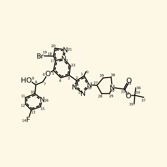 Cc1c(-c2cc(OCC(O)c3ccc(F)cn3)c3c(Br)cnn3c2)nnn1C1CCN(C(=O)OC(C)(C)C)CC1